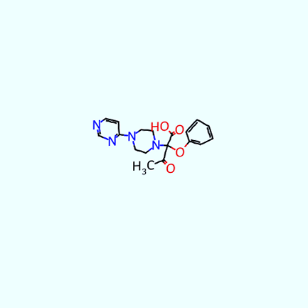 CC(=O)C(Oc1ccccc1)(C(=O)O)N1CCN(c2ccncn2)CC1